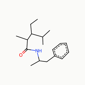 CCC(C(C)C)C(C)C(=O)NC(C)Cc1ccccc1